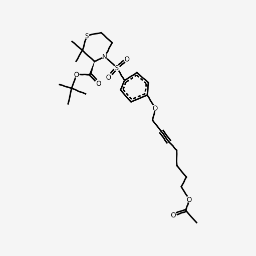 CC(=O)OCCCCC#CCOc1ccc(S(=O)(=O)N2CCSC(C)(C)[C@@H]2C(=O)OC(C)(C)C)cc1